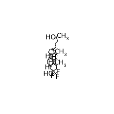 C[C@H](O)CCC[C@@H]1CC[C@H]2[C@@H]3CC[C@H]4C[C@](O)(C(F)(F)F)CC[C@]4(C)[C@H]3CC[C@]12C